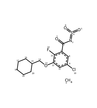 C.O=C(N=S(=O)=O)c1cc(Cl)cc(OCC2CCCCC2)c1F